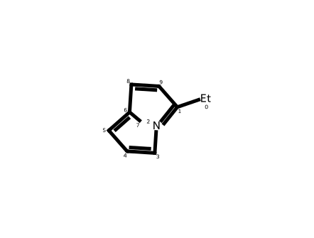 CCC1=N\C=C/C=C(C)/C=C\1